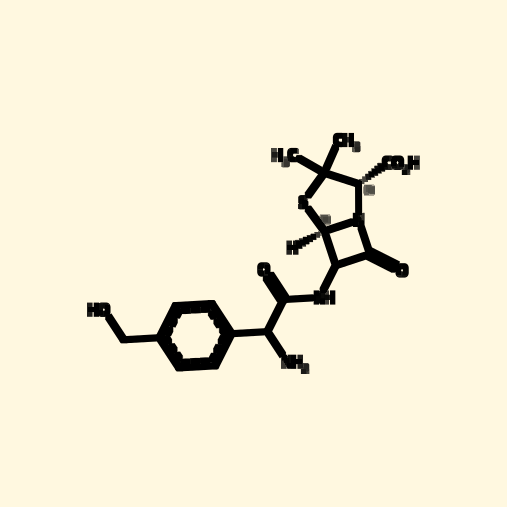 CC1(C)S[C@@H]2C(NC(=O)C(N)c3ccc(CO)cc3)C(=O)N2[C@H]1C(=O)O